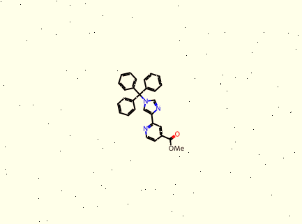 COC(=O)c1ccnc(-c2cn(C(c3ccccc3)(c3ccccc3)c3ccccc3)cn2)c1